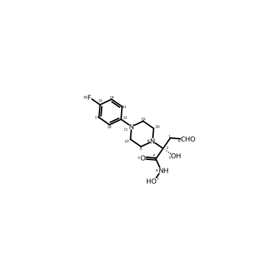 O=CC[C@@](O)(C(=O)NO)N1CCN(c2ccc(F)cc2)CC1